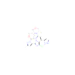 Cc1cc(-c2nc(Cl)c3c(-c4ccnn4C)cc(N4CCOC[C@H]4C)nn23)n(C2CCCCO2)n1